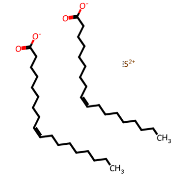 CCCCCCCC/C=C\CCCCCCCC(=O)[O-].CCCCCCCC/C=C\CCCCCCCC(=O)[O-].[S+2]